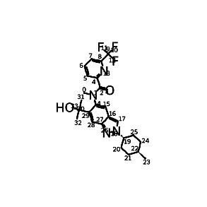 CN(C(=O)c1cccc(C(F)(F)F)n1)c1cc2cn([C@H]3CC[C@H](C)CC3)nc2cc1C(C)(C)O